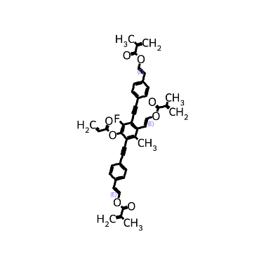 C=CC(=O)Oc1c(F)c(C#Cc2ccc(/C=C/OC(=O)C(=C)C)cc2)c(/C=C/OC(=O)C(=C)C)c(C)c1C#Cc1ccc(/C=C/OC(=O)C(=C)C)cc1